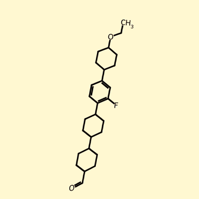 CCOC1CCC(c2ccc(C3CCC(C4CCC(C=O)CC4)CC3)c(F)c2)CC1